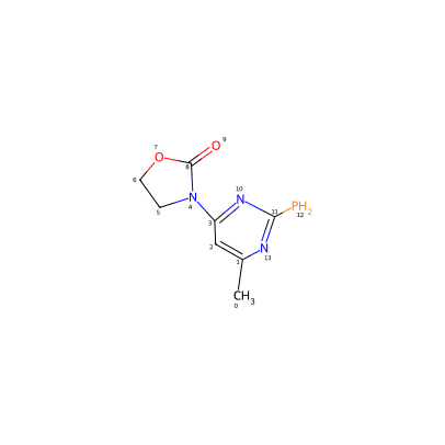 Cc1cc(N2CCOC2=O)nc(P)n1